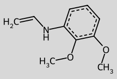 C=CNc1cccc(OC)c1OC